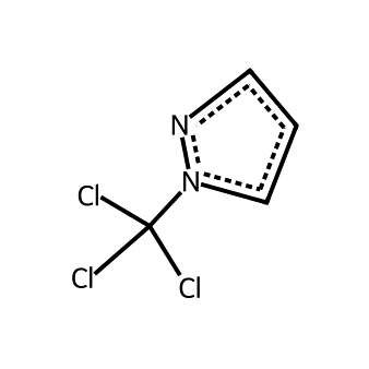 ClC(Cl)(Cl)n1cccn1